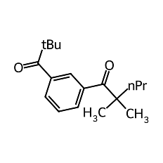 CCCC(C)(C)C(=O)c1cccc(C(=O)C(C)(C)C)c1